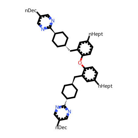 CCCCCCCCCCc1cnc([C@H]2CC[C@H](Cc3cc(CCCCCCC)ccc3Oc3ccc(CCCCCCC)cc3C[C@H]3CC[C@H](c4ncc(CCCCCCCCCC)cn4)CC3)CC2)nc1